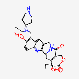 CCN(Cc1c(O)ccc2nc3c(cc12)Cn1c-3cc2c(c1=O)COC(=O)C2(O)CC)C1CCNCC1